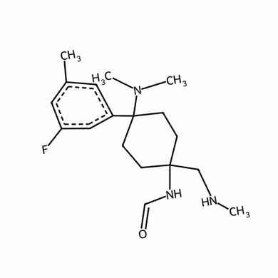 CNCC1(NC=O)CCC(c2cc(C)cc(F)c2)(N(C)C)CC1